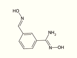 N/C(=N\O)c1cccc(/C=N/O)c1